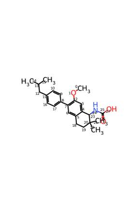 COc1cc2c(cc1-c1ccc(CC(C)C)cc1)CCC(C)(C)[C@@H]2NC(=O)O